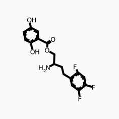 NC(CCc1cc(F)c(F)cc1F)COC(=O)c1cc(O)ccc1O